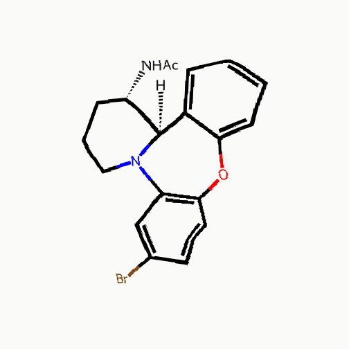 CC(=O)N[C@H]1CCCN2c3cc(Br)ccc3Oc3ccccc3[C@H]12